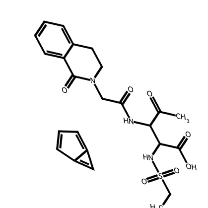 CCS(=O)(=O)NC(C(=O)O)C(NC(=O)CN1CCc2ccccc2C1=O)C(C)=O.c1cc2cc-2c1